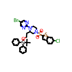 CC(C)(C)[Si](OCCC1CN(S(=O)(=O)c2cc3ccc(Cl)cc3s2)CCN1c1ncc(Br)cn1)(c1ccccc1)c1ccccc1